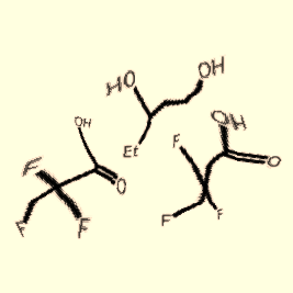 CCC(O)CO.O=C(O)C(F)(F)F.O=C(O)C(F)(F)F